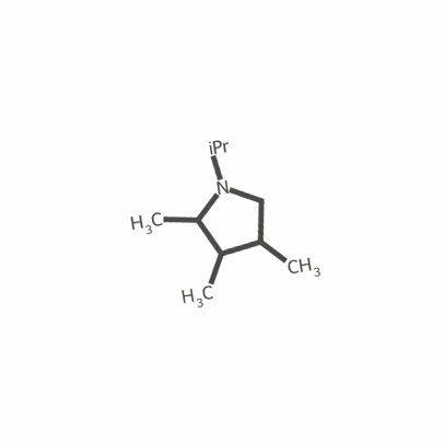 CC1CN(C(C)C)C(C)C1C